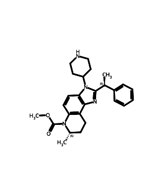 COC(=O)N1c2ccc3c(nc([C@@H](C)c4ccccc4)n3C3CCNCC3)c2CC[C@@H]1C